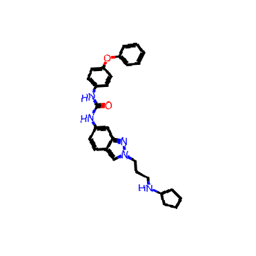 O=C(Nc1ccc(Oc2ccccc2)cc1)Nc1ccc2cn(CCCNC3CCCC3)nc2c1